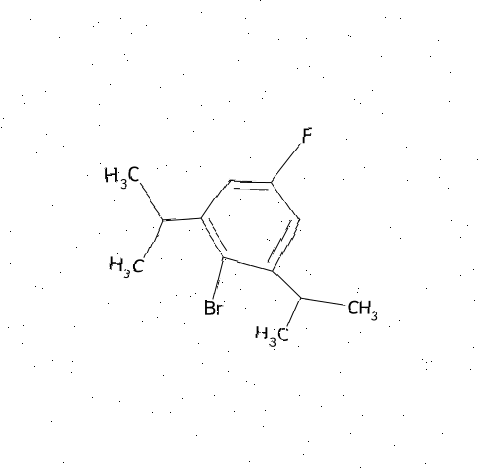 CC(C)c1cc(F)cc(C(C)C)c1Br